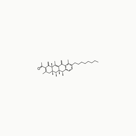 C=C1C2=C(C)[C@@]3(C)C(=C)C(C(C)=O)=C(C)C[C@@]3(C)[C@H](C)[C@@]2(C)[C@H](C)c2ccc(CCCCCCCC)c(C)c21